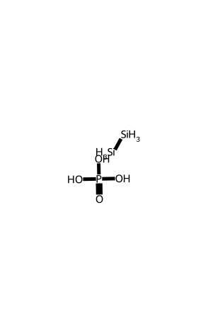 O=P(O)(O)O.[SiH3][SiH3]